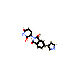 O=C1CCC(N2C(=O)c3ccc([C@@H]4CCNC4)cc3C2=O)C(=O)N1